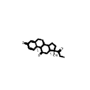 CCC(=O)[C@@]1(O)CCC2C3CCC4=CC(=O)C=C[C@]4(C)C3C(=O)C[C@@]21C